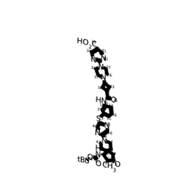 C[C@@H]1C(=O)CC2(CCN(c3cnc(Sc4cccc(NC(=O)C5CC(N6CCN(c7ncc(C(=O)O)cn7)CC6)C5)c4)cn3)CC2)[C@H]1NC(=O)OC(C)(C)C